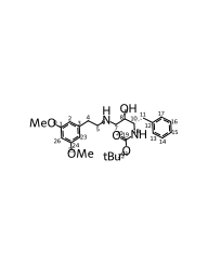 COc1cc(CCNC[C@@H](O)[C@H](Cc2ccccc2)NC(=O)OC(C)(C)C)cc(OC)c1